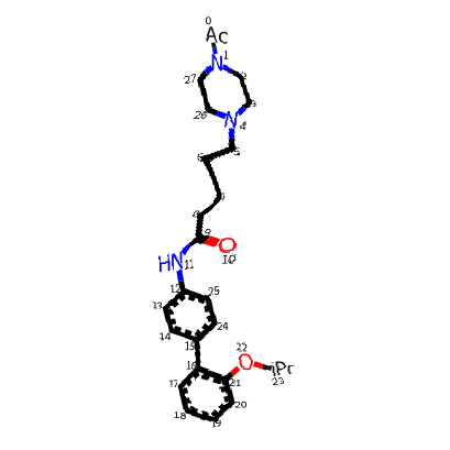 CC(=O)N1CCN(CCCCC(=O)Nc2ccc(-c3ccccc3OC(C)C)cc2)CC1